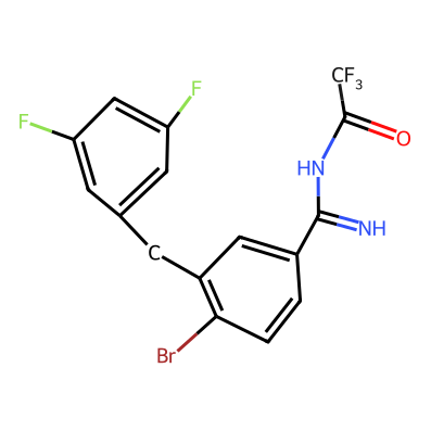 N=C(NC(=O)C(F)(F)F)c1ccc(Br)c(Cc2cc(F)cc(F)c2)c1